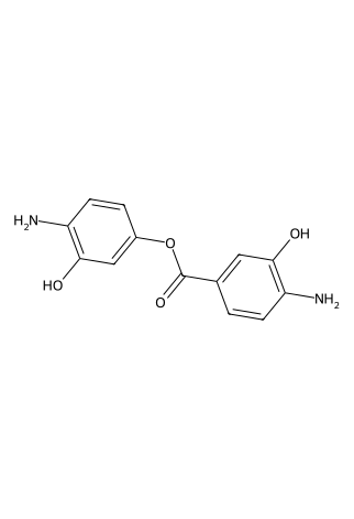 Nc1ccc(OC(=O)c2ccc(N)c(O)c2)cc1O